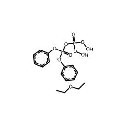 CCOCC.O=P(OO)(OO)OP(=O)(Oc1ccccc1)Oc1ccccc1